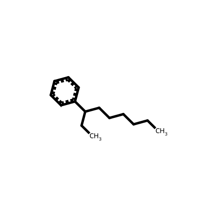 CCCCCCC(CC)c1[c]cccc1